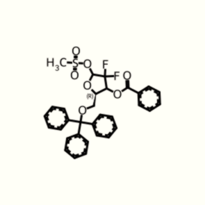 CS(=O)(=O)OC1O[C@H](COC(c2ccccc2)(c2ccccc2)c2ccccc2)C(OC(=O)c2ccccc2)C1(F)F